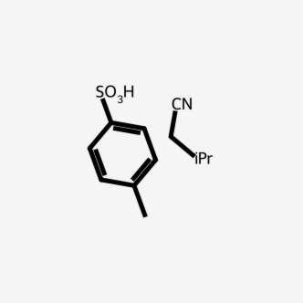 CC(C)CC#N.Cc1ccc(S(=O)(=O)O)cc1